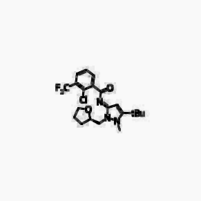 Cn1c(C(C)(C)C)cc(=NC(=O)c2cccc(C(F)(F)F)c2Cl)n1C[C@H]1CCCO1